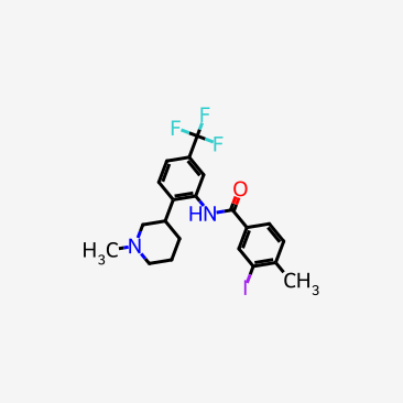 Cc1ccc(C(=O)Nc2cc(C(F)(F)F)ccc2C2CCCN(C)C2)cc1I